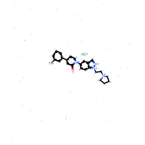 Cl.O=c1cc(-c2cccc(Cl)c2)ccn1-c1ccc2c(cnn2CCN2CCCC2)c1